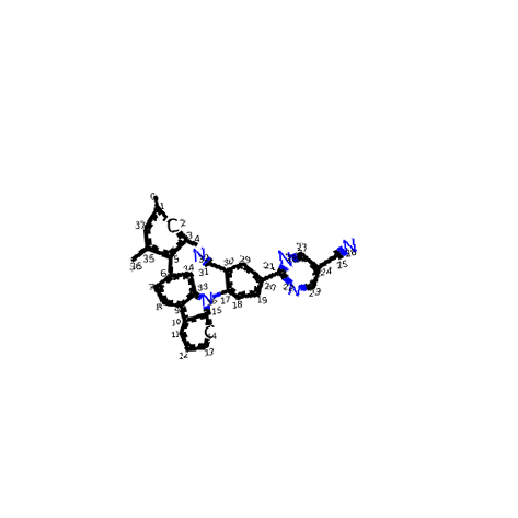 Cc1cc(C)c(-c2ccc3c4ccccc4n(-c4ccc(-c5ncc(C#N)cn5)cc4C#N)c3c2)c(C)c1